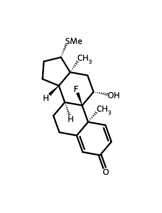 CS[C@H]1CC[C@H]2[C@@H]3CCC4=CC(=O)C=C[C@]4(C)[C@@]3(F)[C@@H](O)C[C@]12C